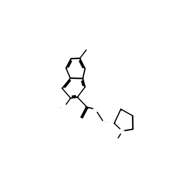 CCN1CCC[C@H]1CNC(=O)c1cc2cc(Br)ccc2cc1OC